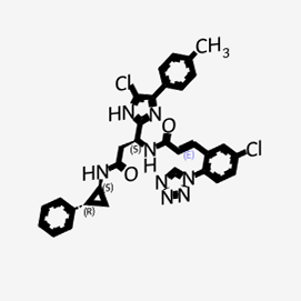 Cc1ccc(-c2nc([C@H](CC(=O)N[C@H]3C[C@@H]3c3ccccc3)NC(=O)/C=C/c3cc(Cl)ccc3-n3cnnn3)[nH]c2Cl)cc1